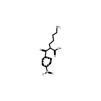 NCCCCC(C(=O)O)C(=O)c1ccc([N+](=O)[O-])cc1